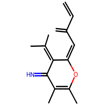 C=CC(=C)/C=c1/oc(C)c(C)c(=N)c1=C(C)C